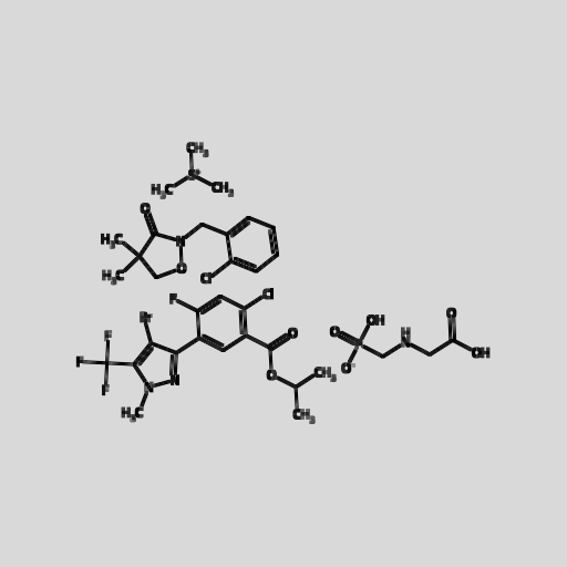 CC(C)OC(=O)c1cc(-c2nn(C)c(C(F)(F)F)c2Br)c(F)cc1Cl.CC1(C)CON(Cc2ccccc2Cl)C1=O.C[S+](C)C.O=C(O)CNCP(=O)([O-])O